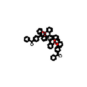 O=C(c1ccccc1)c1ccc(-c2cccc(-c3cc(-c4ccccc4-n4c5ccccc5c5ccccc54)c(-c4cccc(-c5ccc(C(=O)c6ccccc6)cc5)c4)nc3-c3ccccc3-n3c4ccccc4c4ccccc43)c2)cc1